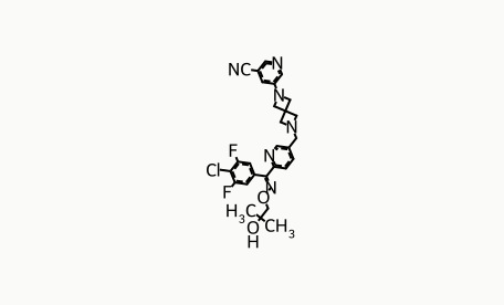 CC(C)(O)CON=C(c1cc(F)c(Cl)c(F)c1)c1ccc(CN2CC3(C2)CN(c2cncc(C#N)c2)C3)cn1